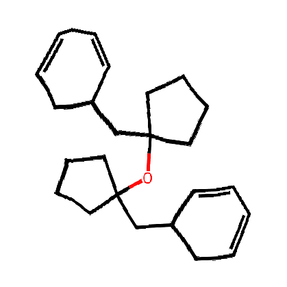 C1=CCC(CC2(OC3(CC4C=CC=CC4)CCCC3)CCCC2)C=C1